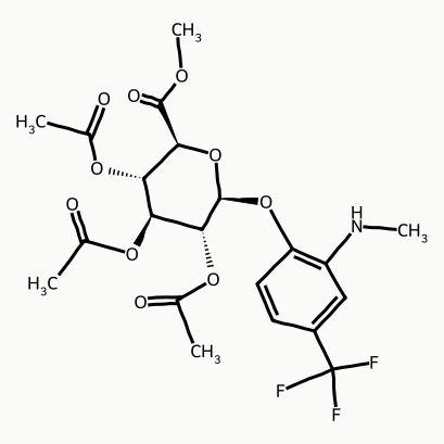 CNc1cc(C(F)(F)F)ccc1O[C@@H]1O[C@H](C(=O)OC)[C@@H](OC(C)=O)[C@H](OC(C)=O)[C@H]1OC(C)=O